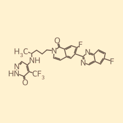 C[C@@H](CCCn1ccc2cc(-c3ncc4cc(F)ccc4n3)c(F)cc2c1=O)Nc1cn[nH]c(=O)c1C(F)(F)F